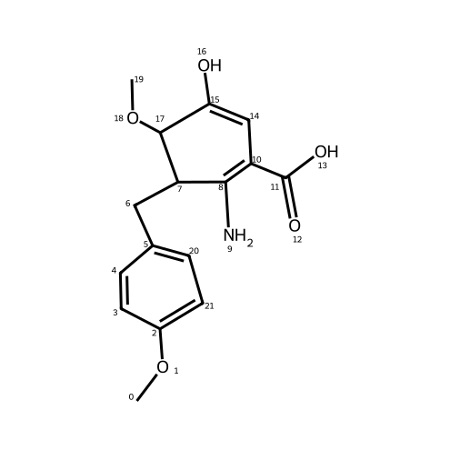 COc1ccc(CC2C(N)=C(C(=O)O)C=C(O)C2OC)cc1